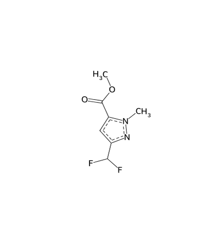 COC(=O)c1cc(C(F)F)nn1C